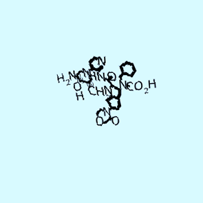 C[C@H]1CN(c2ccncc2NC(=O)c2nc3cc(N4CCOCC4=O)ccc3cc2N(Cc2ccccc2)C(=O)O)C[C@@H](N)[C@@H]1O